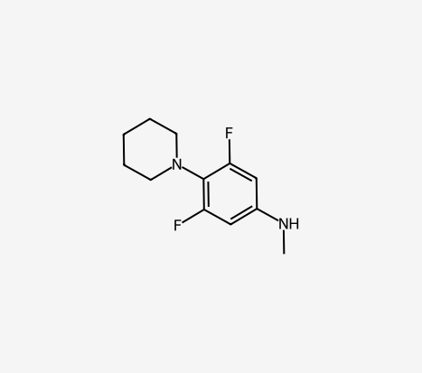 CNc1cc(F)c(N2CCCCC2)c(F)c1